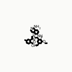 CCOc1cc(CC)cc(C(Nc2ccc3c(N)nccc3c2)c2nc(-c3cc(C)ccc3C(=O)O)c[nH]2)c1F